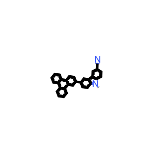 Cn1c2ccc(C#N)cc2c2cc(-c3ccc4c5ccccc5c5ccccc5c4c3)ccc21